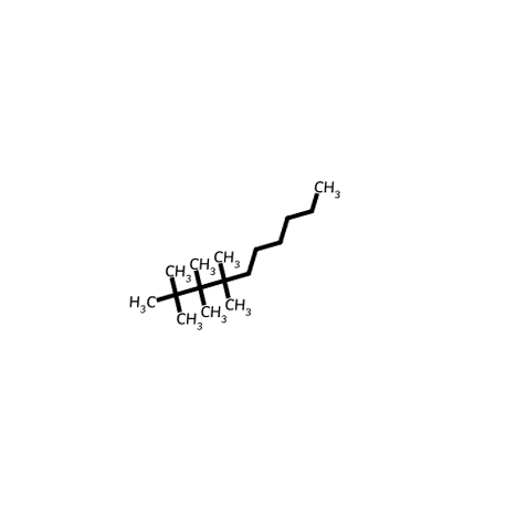 CCCCCCC(C)(C)C(C)(C)C(C)(C)C